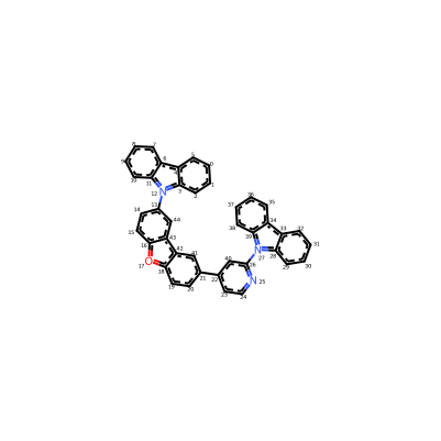 c1ccc2c(c1)c1ccccc1n2-c1ccc2oc3ccc(-c4ccnc(-n5c6ccccc6c6ccccc65)c4)cc3c2c1